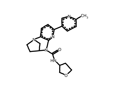 Cc1ccc(-c2ccc3c(n2)N(C(=O)NC2CCOC2)C2CCN3C2)cn1